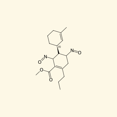 CCCC1=C(C(=O)OC)C(N=O)C([C@@H]2C=C(C)CCC2)C(N=O)C1